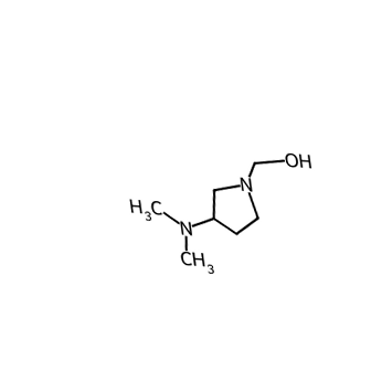 CN(C)C1CCN(CO)C1